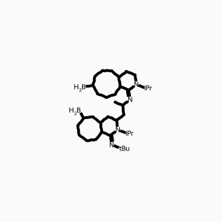 BC1CCCC2CCN(C(C)C)/C(=N/C(C)CC3CC4CC(B)CCCCC4/C(=N/C(C)(C)C)N3C(C)C)C2CCC1